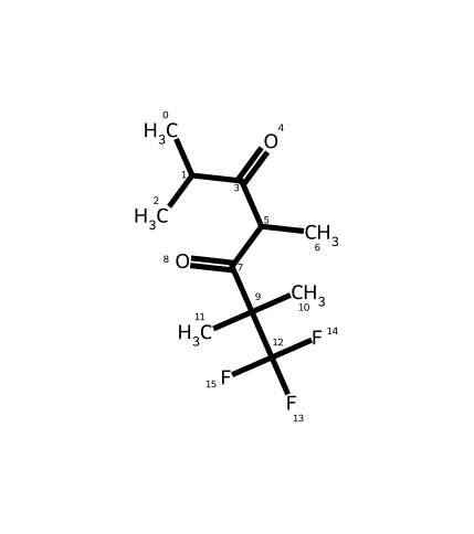 CC(C)C(=O)C(C)C(=O)C(C)(C)C(F)(F)F